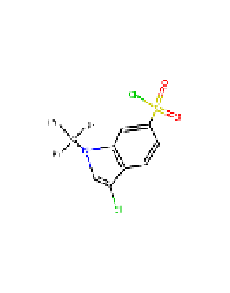 CC(C)[Si](C(C)C)(C(C)C)n1cc(Cl)c2ccc(S(=O)(=O)Cl)cc21